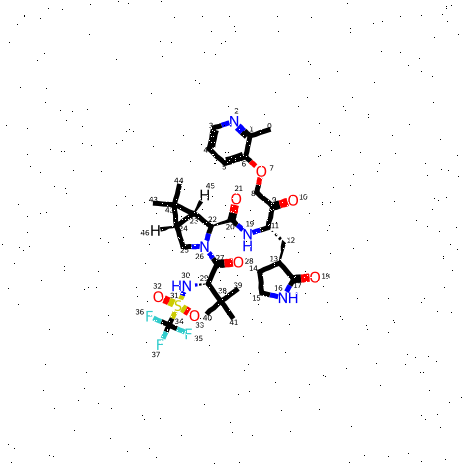 Cc1ncccc1OCC(=O)[C@H](C[C@@H]1CCNC1=O)NC(=O)[C@@H]1[C@@H]2[C@H](CN1C(=O)[C@@H](NS(=O)(=O)C(F)(F)F)C(C)(C)C)C2(C)C